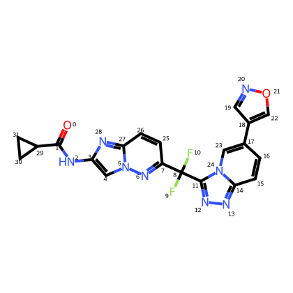 O=C(Nc1cn2nc(C(F)(F)c3nnc4ccc(-c5cnoc5)cn34)ccc2n1)C1CC1